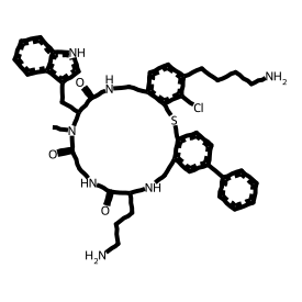 CN1C(=O)CNC(=O)C(CCCN)NCc2cc(-c3ccccc3)ccc2Sc2c(ccc(CCCCN)c2Cl)CNC(=O)C1Cc1c[nH]c2ccccc12